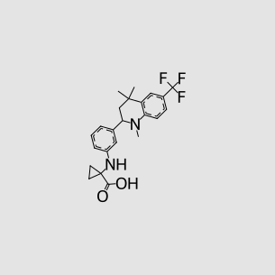 CN1c2ccc(C(F)(F)F)cc2C(C)(C)CC1c1cccc(NC2(C(=O)O)CC2)c1